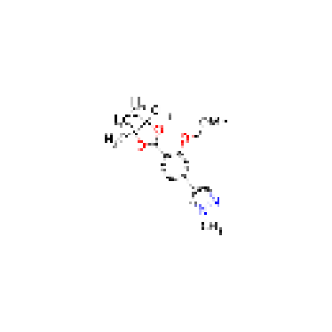 COCOc1cc(-c2cnn(C)c2)ccc1B1OC(C)(C)C(C)(C)O1